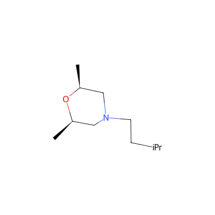 CC(C)CCN1C[C@@H](C)O[C@@H](C)C1